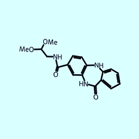 COC(CNC(=O)c1ccc2c(c1)NC(=O)c1ccccc1N2)OC